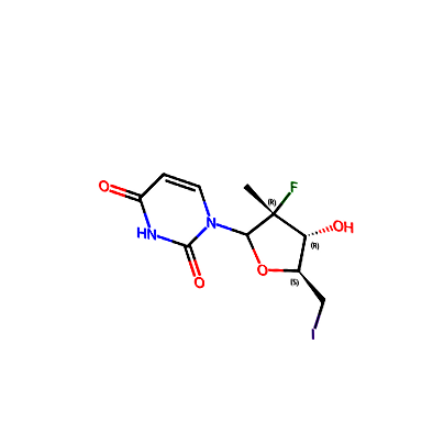 C[C@]1(F)C(n2ccc(=O)[nH]c2=O)O[C@H](CI)[C@H]1O